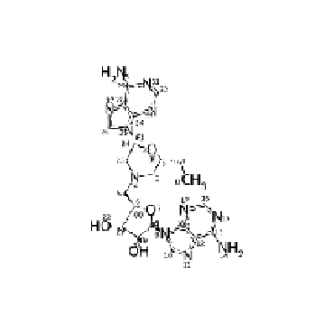 CC[C@@H]1CN(C[C@H]2O[C@@H](n3cnc4c(N)ncnc43)[C@H](O)[C@@H]2O)C[C@H](n2cnc3c(N)ncnc32)O1